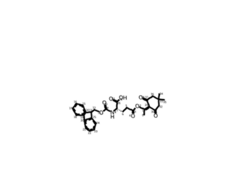 CC(OC(=O)CC[C@H](NC(=O)OCC1c2ccccc2-c2ccccc21)C(=O)O)=C1C(=O)CC(C)(C)CC1=O